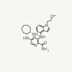 COCCn1ccc2c(Nc3nc(N[C@@H]4CCCCC[C@@H]4N)nnc3C(N)=O)cccc21